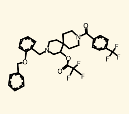 O=C(c1ccc(C(F)(F)F)cc1)N1CCC2(CCN(Cc3ccccc3OCc3ccccc3)CC2OC(=O)C(F)(F)F)CC1